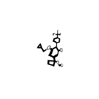 O=COC1(c2cc(Cl)c(-c3ccc(C(F)(F)F)cc3)c(OCC3CC3)c2)CCC1